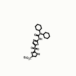 CCOC(=O)C1CNC(S(=O)(=O)c2cnc(NC(=O)N(C3CCCCC3)C3CCCCC3)s2)=N1